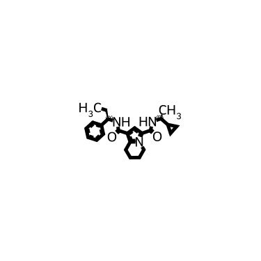 CC[C@@H](NC(=O)c1cc(C(=O)N[C@H](C)C2CC2)n2c1CCCC2)c1ccccc1